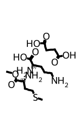 COC(=O)[C@@H](N)CCSC.NCCC[C@H](N)C(=O)O.O=C(O)CCC(=O)O